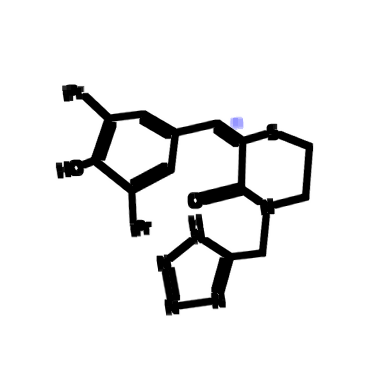 CC(C)c1cc(/C=C2/SCCN(Cc3nnn[nH]3)C2=O)cc(C(C)C)c1O